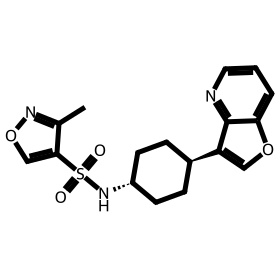 Cc1nocc1S(=O)(=O)N[C@H]1CC[C@H](c2coc3cccnc32)CC1